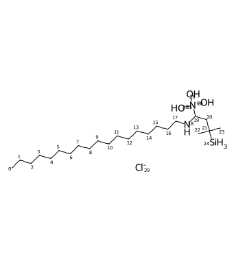 CCCCCCCCCCCCCCCCCCNC(CC(C)(C)[SiH3])[N+](O)(O)O.[Cl-]